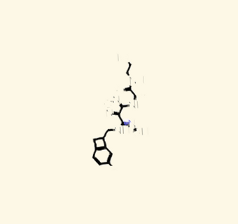 C[C@H](Nc1nonc1/C(=N/O)NCC1Cc2ccc(F)cc21)C(=O)NCCO